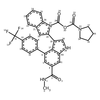 CNC(=O)c1cc(-c2ccc(C(F)(F)F)cc2)c2c(-c3cc4ccccc4n3C(=O)OC(=O)N3CCCC3)c[nH]c2c1